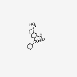 CS(=O)(=O)Nc1cc2c(cc1Oc1ccccc1)CCC2=NO